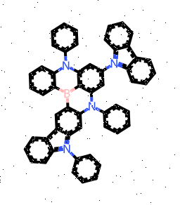 c1ccc(N2c3ccccc3B3c4cc5c6ccccc6n(-c6ccccc6)c5cc4N(c4ccccc4)c4cc(-n5c6ccccc6c6ccccc65)cc2c43)cc1